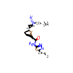 Cc1nnc(NC(=O)c2ccc([C@@H]3C[C@H]3NC(=O)O)s2)s1